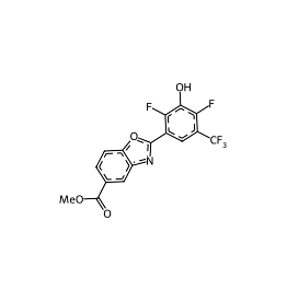 COC(=O)c1ccc2oc(-c3cc(C(F)(F)F)c(F)c(O)c3F)nc2c1